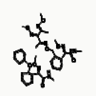 CNC(=O)/C(=N/OC)c1ccccc1CO/N=C(C)/C(=N/OC)C(/C)=N/OC.CNC(=O)/C(=N/OC)c1ccccc1Oc1ccccc1